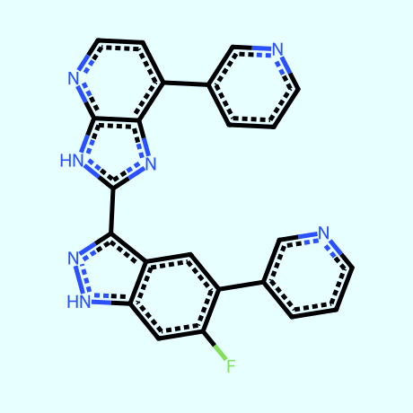 Fc1cc2[nH]nc(-c3nc4c(-c5cccnc5)ccnc4[nH]3)c2cc1-c1cccnc1